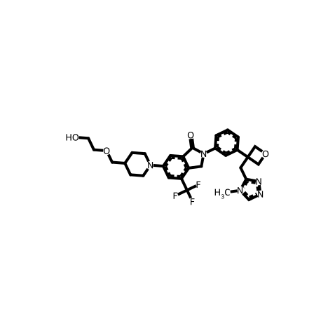 Cn1cnnc1CC1(c2cccc(N3Cc4c(cc(N5CCC(COCCO)CC5)cc4C(F)(F)F)C3=O)c2)COC1